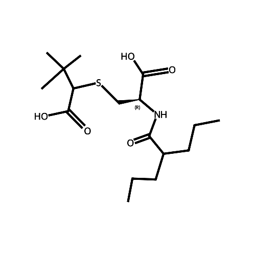 CCCC(CCC)C(=O)N[C@@H](CSC(C(=O)O)C(C)(C)C)C(=O)O